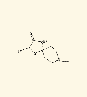 CCC1SC2(CCN(C)CC2)NC1=S